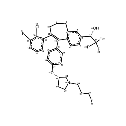 O[C@@H](c1ccc2c(c1)CCCC(c1cccc(F)c1Cl)=C2c1ccc(O[C@H]2CCN(CCCF)C2)cc1)C(F)(F)F